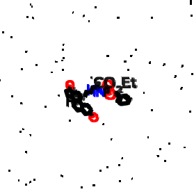 CCOC(=O)C(CCCC[C@H]1C[C@]2(C)C(=O)CC[C@H]2[C@@H]2CCC3=CC(=O)CCC3=C12)NC(=O)OCc1ccccc1